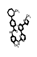 Cc1ccc(NC(=O)c2ccc(C3CCCCN(C)C3)cc2)cc1Nc1nccc(-c2cncc(-c3ccn(C)n3)c2)n1